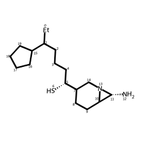 CCC(CCC[C@@H](S)C1CCC2[C@@H](N)N2C1)C1CCCC1